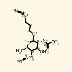 C[C@H]1O[C@@H](OCCCN=[N+]=[N-])[C@H](NC(=O)C(Cl)(Cl)Cl)[C@@H](O)[C@H]1N=[N+]=[N-]